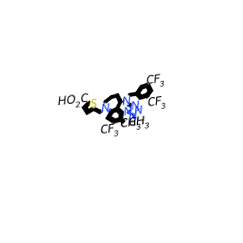 Cc1cc2c(cc1C(F)(F)F)N(Cc1ccc(C(=O)O)s1)CCC[C@@H]2N(Cc1cc(C(F)(F)F)cc(C(F)(F)F)c1)c1nnn(C)n1